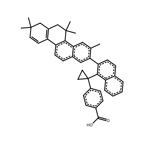 Cc1cc2c3c(ccc2cc1-c1ccc2ccccc2c1C1(c2ccc(C(=O)O)cc2)CC1)C1=C(CC(C)(C)C=C1)CC3(C)C